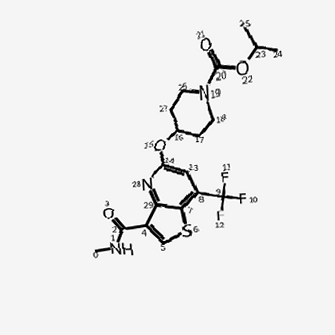 CNC(=O)c1csc2c(C(F)(F)F)cc(OC3CCN(C(=O)OC(C)C)CC3)nc12